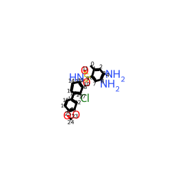 Cc1cc(N)c(N)cc1S(=O)(=O)Nc1ccc(-c2ccc3c(c2)OCO3)c(Cl)c1